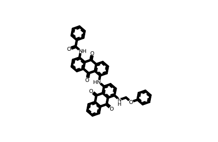 O=C(Nc1cccc2c1C(=O)c1cccc(Nc3ccc(NCOc4ccccc4)c4c3C(=O)c3ccccc3C4=O)c1C2=O)c1ccccc1